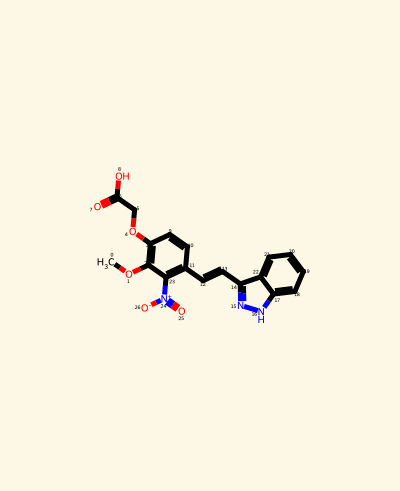 COc1c(OCC(=O)O)ccc(/C=C/c2n[nH]c3ccccc23)c1[N+](=O)[O-]